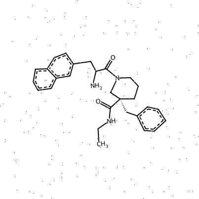 CCNC(=O)[C@]1(Cc2ccccc2)CCCN(C(=O)C(N)Cc2ccc3ccccc3c2)C1